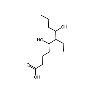 CCCC(O)C(CC)C(O)CCCC(=O)O